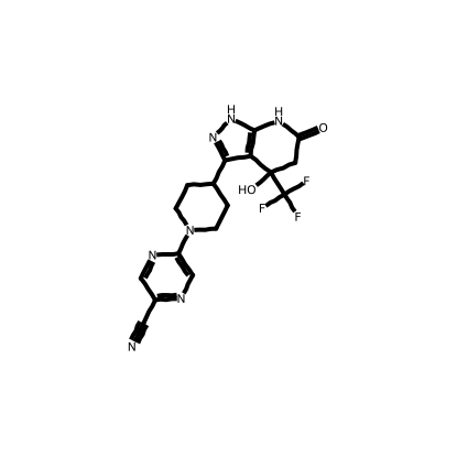 N#Cc1cnc(N2CCC(c3n[nH]c4c3C(O)(C(F)(F)F)CC(=O)N4)CC2)cn1